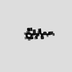 CCOC(=O)NC(=S)Nc1ncccc1O